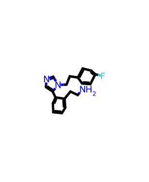 NCCc1ccccc1-c1cncn1CCc1ccc(F)cc1